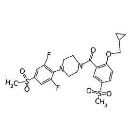 CS(=O)(=O)c1cc(F)c(N2CCN(C(=O)c3cc(S(C)(=O)=O)ccc3OCC3CC3)CC2)c(F)c1